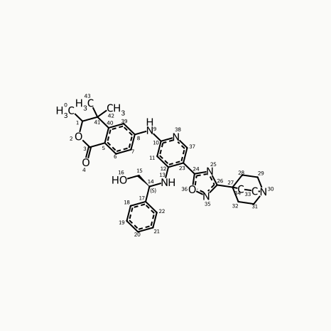 CC1OC(=O)c2ccc(Nc3cc(N[C@H](CO)c4ccccc4)c(-c4nc(C56CCN(CC5)CC6)no4)cn3)cc2C1(C)C